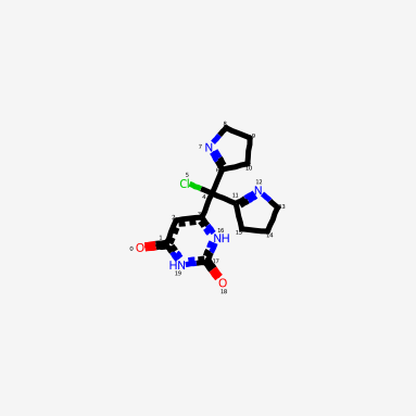 O=c1cc(C(Cl)(C2=NCCC2)C2=NCCC2)[nH]c(=O)[nH]1